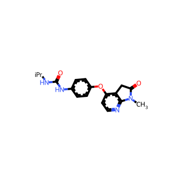 CC(C)NC(=O)Nc1ccc(Oc2ccnc3c2CC(=O)N3C)cc1